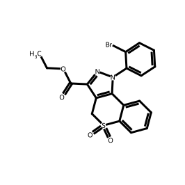 CCOC(=O)c1nn(-c2ccccc2Br)c2c1CS(=O)(=O)c1ccccc1-2